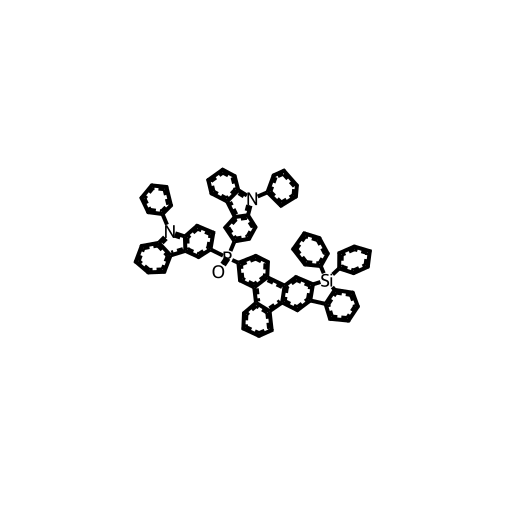 O=P(c1ccc2c(c1)c1ccccc1c1cc3c(cc21)[Si](c1ccccc1)(c1ccccc1)c1ccccc1-3)(c1ccc2c(c1)c1ccccc1n2-c1ccccc1)c1ccc2c(c1)c1ccccc1n2-c1ccccc1